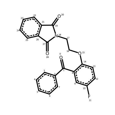 O=C(c1ccccc1)c1cc(F)ccc1OCCN1C(=O)c2ccccc2C1=O